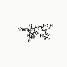 CCCCCn1c(=O)n(CCCN(CCc2ncc[nH]2)C(=O)O)c(=O)c2[nH]c(Cl)nc21